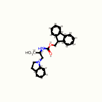 O=C(NC(CN1CCc2ccccc21)C(=O)O)OCC1c2ccccc2-c2ccccc21